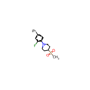 CC(C)c1ccc(N2CCC(S(C)(=O)=O)CC2)c(F)c1